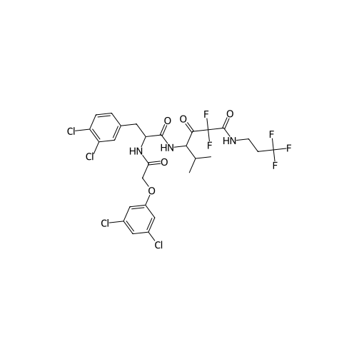 CC(C)C(NC(=O)C(Cc1ccc(Cl)c(Cl)c1)NC(=O)COc1cc(Cl)cc(Cl)c1)C(=O)C(F)(F)C(=O)NCCC(F)(F)F